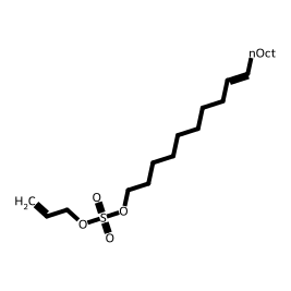 C=CCOS(=O)(=O)OCCCCCCCCC=CCCCCCCCC